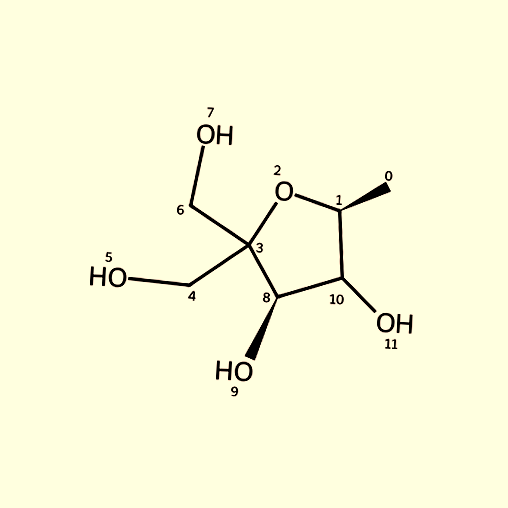 C[C@@H]1OC(CO)(CO)[C@H](O)C1O